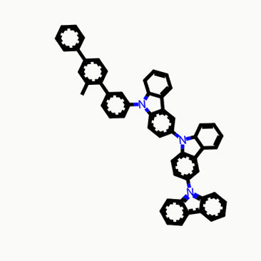 Cc1cc(-c2ccccc2)ccc1-c1cccc(N2c3ccc(N4c5ccc(-n6c7ccccc7c7ccccc76)cc5C5C=CC=CC54)cc3C3=CC=CCC32)c1